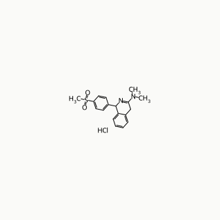 CN(C)C1=NC(c2ccc(S(C)(=O)=O)cc2)c2ccccc2C1.Cl